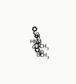 CN1C(=O)[C@@H](NC(=O)c2cc(Cc3ccccc3)on2)COc2ccc(S(C)(=O)=O)cc21